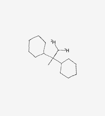 [2H]C([2H])C(C)(C1CCCCC1)C1CCCCC1